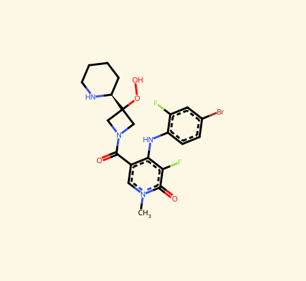 Cn1cc(C(=O)N2CC(OO)([C@@H]3CCCCN3)C2)c(Nc2ccc(Br)cc2F)c(F)c1=O